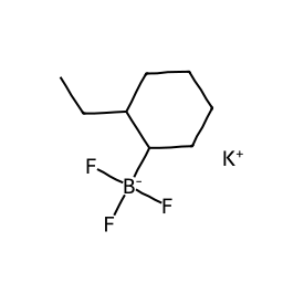 CCC1CCCCC1[B-](F)(F)F.[K+]